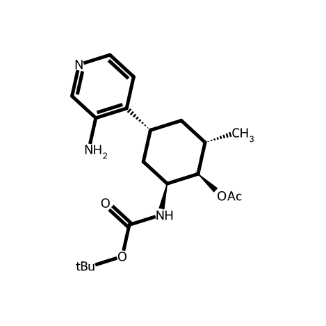 CC(=O)O[C@H]1[C@@H](NC(=O)OC(C)(C)C)C[C@H](c2ccncc2N)C[C@@H]1C